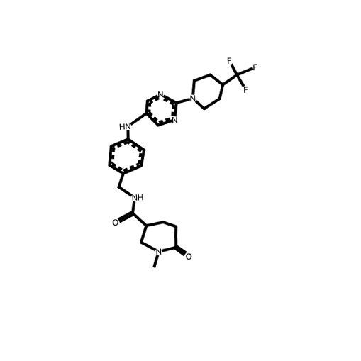 CN1CC(C(=O)NCc2ccc(Nc3cnc(N4CCC(C(F)(F)F)CC4)nc3)cc2)CCC1=O